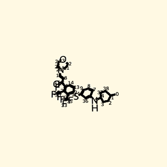 CC1CCC(Nc2cccc(Sc3ccc(C(=O)C=CN4CCOCC4)c(C(F)(F)F)c3C(F)(F)F)c2)CC1